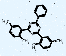 Cc1ccc(C)c(-c2nc(-c3ccccc3)nc(-c3cc(C)ccc3C)n2)c1